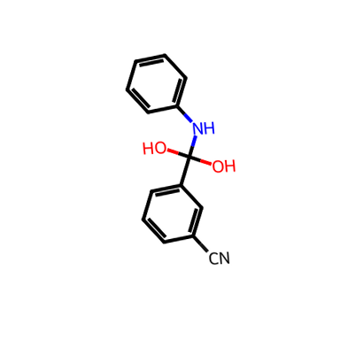 N#Cc1cccc(C(O)(O)Nc2ccccc2)c1